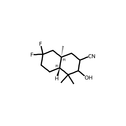 CC1(C)C(O)C(C#N)C[C@]2(C)CC(F)(F)CC[C@@H]12